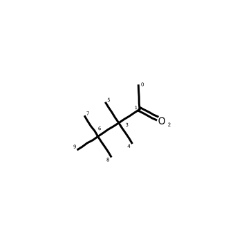 CC(=O)C(C)(C)C(C)(C)C